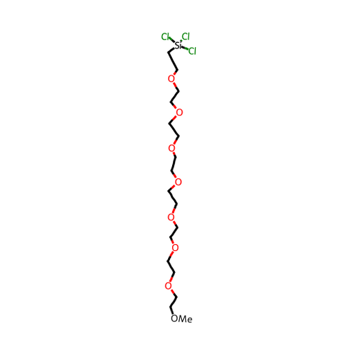 COCCOCCOCCOCCOCCOCCOCCOCC[Si](Cl)(Cl)Cl